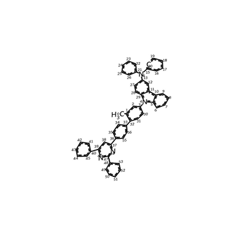 Cc1cc(-n2c3ccccc3c3cc(N(c4ccccc4)c4ccccc4)ccc32)ccc1-c1ccc(-c2cc(-c3ccccc3)nc(-c3ccccc3)n2)cc1